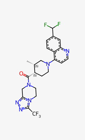 C[C@@H]1CN(c2ccnc3cc(C(F)F)ccc23)CC[C@@H]1C(=O)N1CCn2c(nnc2C(F)(F)F)C1